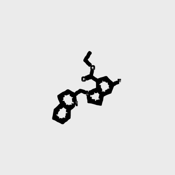 CCOC(=O)c1cc(F)cc2ccn(Cc3ccc4ccccc4n3)c12